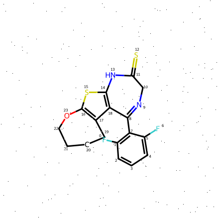 Fc1cccc(F)c1C1=NCC(=S)Nc2sc3c(c21)CCCCO3